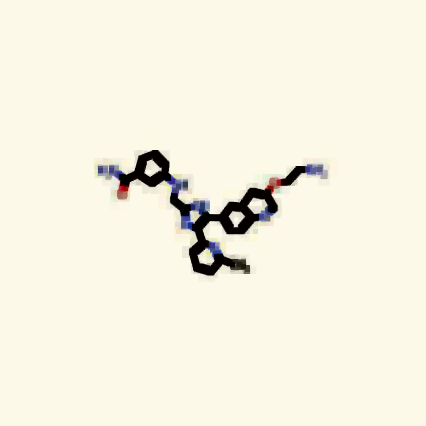 Cc1cccc(-c2nc(CNc3cccc(C(N)=O)c3)[nH]c2-c2ccc3ncc(OCCN)cc3c2)n1